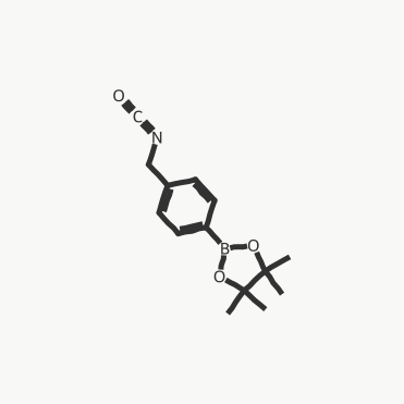 CC1(C)OB(c2ccc(CN=C=O)cc2)OC1(C)C